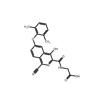 Cc1cccc(C)c1Oc1ccc2c(C#N)nc(C(=O)NCC(=O)O)c(O)c2c1